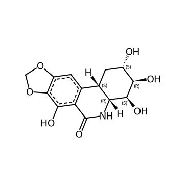 O=C1N[C@H]2[C@H](O)[C@H](O)[C@@H](O)C[C@H]2c2cc3c(c(O)c21)OCO3